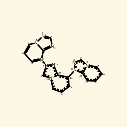 C1=CN2[N+]=CN=C2[N+](n2c[n+]3cccc(-n4nc[n+]5ccccc45)c3n2)=C1